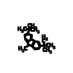 CC1c2ccc(C(C)(C)C)cc2-c2cc(C(C)(C)C)ccc21